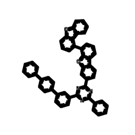 c1ccc(-c2ccc(-c3cccc(-c4nc(-c5ccccc5)nc(-c5ccc6c(c5)oc5c(-c7cccc8oc9ccccc9c78)cccc56)n4)c3)cc2)cc1